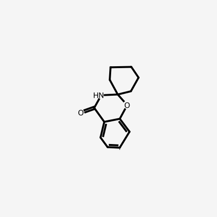 O=C1NC2(CCCCC2)Oc2c[c]ccc21